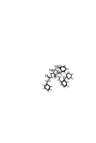 CC(C)(C)[S+]([O-])NC(CCC(=O)OCc1ccccc1)P(=O)(CCc1ccccc1OC1CCCCC1)OCc1ccccc1